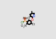 CCc1cc([N+](=O)[O-])c([PH](=O)Cl)cc1Oc1ncc(C)cc1OC